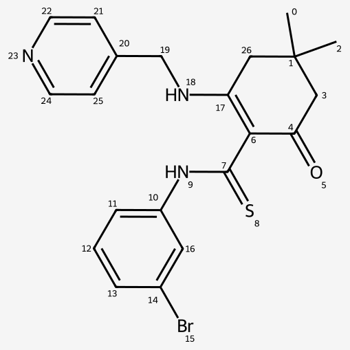 CC1(C)CC(=O)C(C(=S)Nc2cccc(Br)c2)=C(NCc2ccncc2)C1